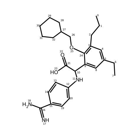 CCCc1cc(CC)cc(C(Nc2ccc(C(=N)N)cc2)C(=O)O)c1OCC1CCCCC1